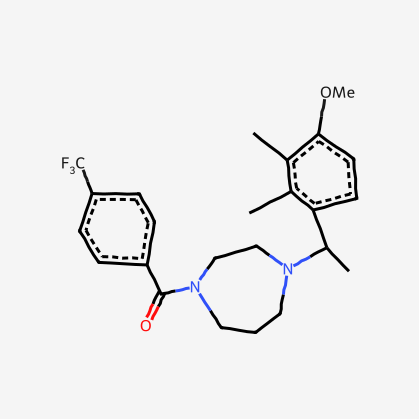 COc1ccc(C(C)N2CCCN(C(=O)c3ccc(C(F)(F)F)cc3)CC2)c(C)c1C